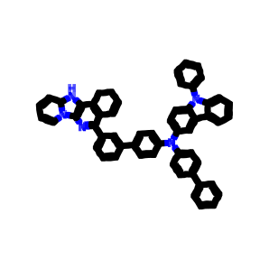 C1=CC2Nc3c(nc(-c4cccc(-c5ccc(N(c6ccc(-c7ccccc7)cc6)c6ccc7c(c6)c6ccccc6n7-c6ccccc6)cc5)c4)c4c3CCC=C4)N2C=C1